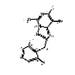 Nc1nc(Cl)c(Br)c2nc(Cc3c(F)cccc3F)nn12